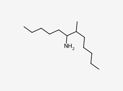 CCCCCC(C)C(N)CCCCC